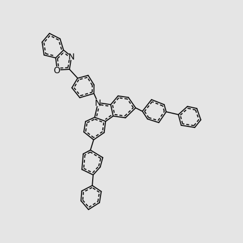 c1ccc(-c2ccc(-c3ccc4c(c3)c3cc(-c5ccc(-c6ccccc6)cc5)ccc3n4-c3ccc(-c4nc5ccccc5o4)cc3)cc2)cc1